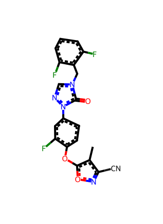 Cc1c(C#N)noc1Oc1ccc(-n2ncn(Cc3c(F)cccc3F)c2=O)cc1F